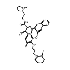 CC1CCCCN1CCCNc1c(F)cc2c(=O)c(C(=O)NCCC3CCCN3C)cn3c2c1Oc1cc2ccccc2cc1-3